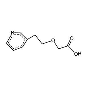 O=C(O)COCCc1cccnc1